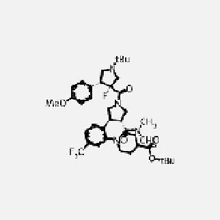 COc1ccc([C@@H]2CN(C(C)(C)C)C[C@@]2(F)C(=O)N2C[C@H](C(=O)N(C)C)[C@@H](c3ccc(C(F)(F)F)cc3N3CCC(C(=O)OC(C)(C)C)CC3)C2)cc1